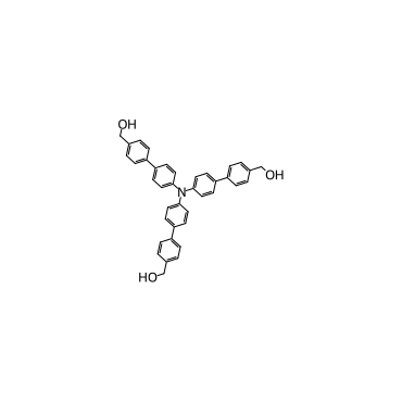 OCc1ccc(-c2ccc(N(c3ccc(-c4ccc(CO)cc4)cc3)c3ccc(-c4ccc(CO)cc4)cc3)cc2)cc1